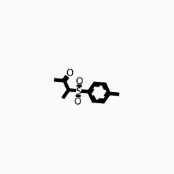 CC(=O)C(C)S(=O)(=O)c1ccc(C)cc1